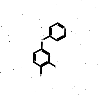 Fc1ccc(Oc2c[c]ncc2)cc1F